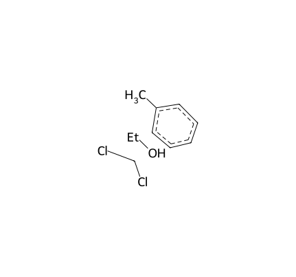 CCO.Cc1ccccc1.ClCCl